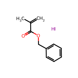 C=C(C)C(=O)OCc1ccccc1.I